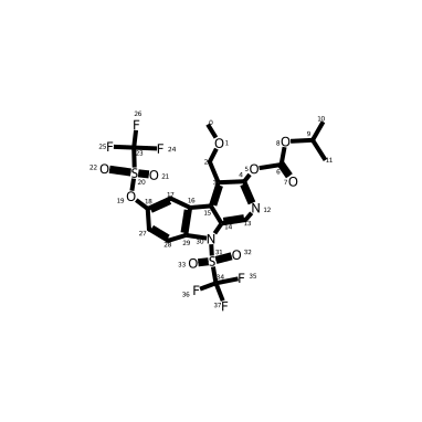 COCc1c(OC(=O)OC(C)C)ncc2c1c1cc(OS(=O)(=O)C(F)(F)F)ccc1n2S(=O)(=O)C(F)(F)F